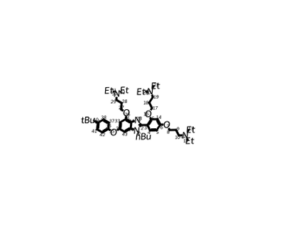 CCCCn1c(-c2ccc(OCCCN(CC)CC)cc2OCCCN(CC)CC)nc2c(OCCCN(CC)CC)cc(Oc3ccc(C(C)(C)C)cc3)cc21